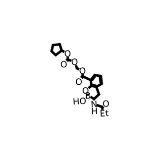 CCC(=O)N[C@H]1Cc2cccc(C(=O)OCOC(=O)OC3CCCC3)c2OB1O